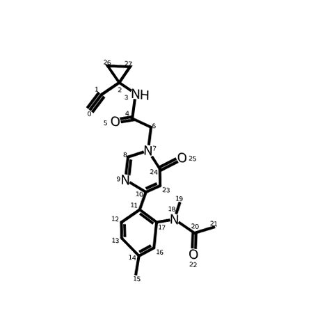 C#CC1(NC(=O)Cn2cnc(-c3ccc(C)cc3N(C)C(C)=O)cc2=O)CC1